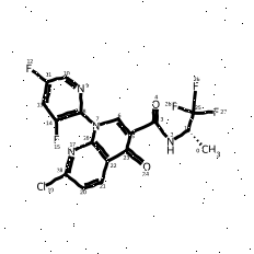 C[C@H](NC(=O)c1cn(-c2ncc(F)cc2F)c2nc(Cl)ccc2c1=O)C(F)(F)F